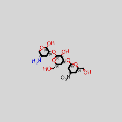 N[C@@H]1CO[C@@H](O)[C@H](O[C@H]2O[C@@H](CO)C[C@@H](O[C@@H]3C[C@H]([N+](=O)[O-])C[C@H](CO)O3)[C@@H]2O)C1